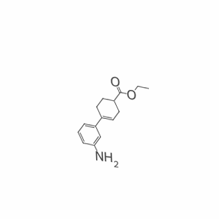 CCOC(=O)C1CC=C(c2cccc(N)c2)CC1